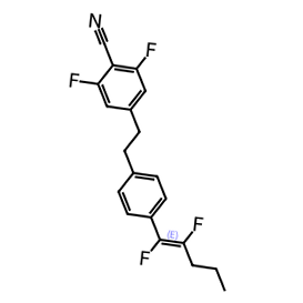 CCC/C(F)=C(\F)c1ccc(CCc2cc(F)c(C#N)c(F)c2)cc1